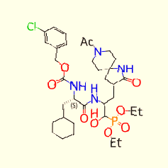 CCOP(=O)(OCC)C(O)C(CC1CC2(CCN(C(C)=O)CC2)NC1=O)NC(=O)[C@H](CC1CCCCC1)NC(=O)OCc1cccc(Cl)c1